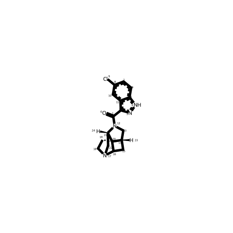 O=C(c1n[nH]c2ccc(Cl)cc12)N1C[C@@H]2CC3N4CC[C@@]32[C@@H]1C4